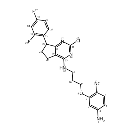 [C-]#[N+]c1ccc(N)cc1OCCCNc1nc(Cl)nc2c1CCC2c1ccc(F)cc1F